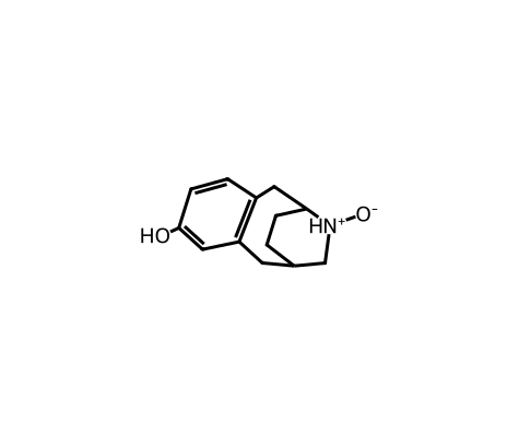 [O-][NH+]1CC2CCC1Cc1ccc(O)cc1C2